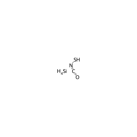 O=C=NS.[SiH4]